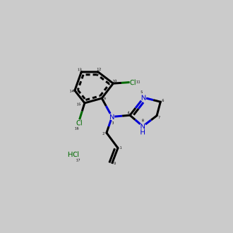 C=CCN(C1=NCCN1)c1c(Cl)cccc1Cl.Cl